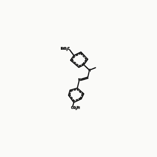 CCOC(=O)c1ccc(N=CN(C)c2ccc(C(=O)OCC)cc2)cc1